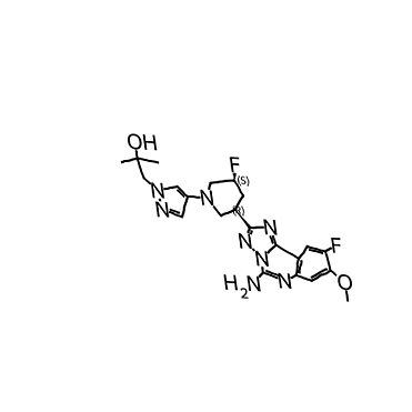 COc1cc2nc(N)n3nc([C@@H]4C[C@H](F)CN(c5cnn(CC(C)(C)O)c5)C4)nc3c2cc1F